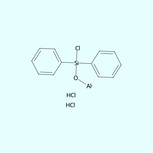 Cl.Cl.[Al][O][Si](Cl)(c1ccccc1)c1ccccc1